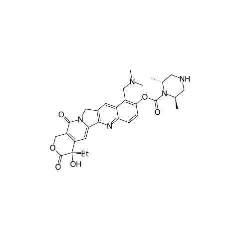 CC[C@@]1(O)C(=O)OCc2c1cc1n(c2=O)Cc2cc3c(CN(C)C)c(OC(=O)N4[C@H](C)CNC[C@H]4C)ccc3nc2-1